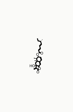 C=C(C=O)[C@]1(O)C[C@@]2(C)C(=CC1=O)C=C[C@H](OC(=O)/C=C/C=C/[C@@H](C)CC)[C@@H]2C